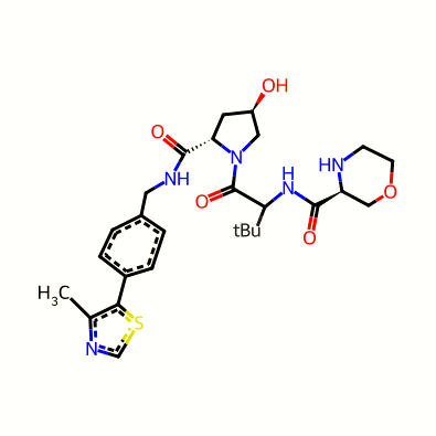 Cc1ncsc1-c1ccc(CNC(=O)[C@@H]2C[C@@H](O)CN2C(=O)C(NC(=O)[C@@H]2COCCN2)C(C)(C)C)cc1